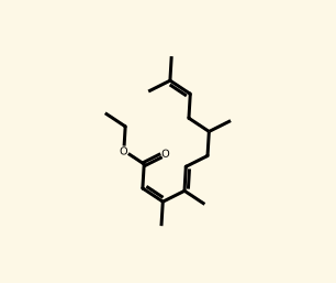 CCOC(=O)C=C(C)C(C)=CCC(C)CC=C(C)C